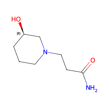 NC(=O)CCN1CCC[C@@H](O)C1